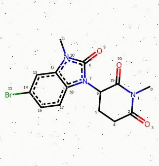 CN1C(=O)CCC(n2c(=O)n(C)c3cc(Br)ccc32)C1=O